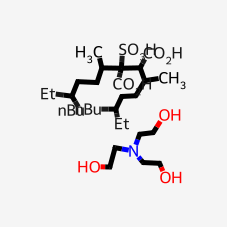 CCCCC(CC)CCC(C)C(C(=O)O)C(C(=O)O)(C(C)CCC(CC)CCCC)S(=O)(=O)O.OCCN(CCO)CCO